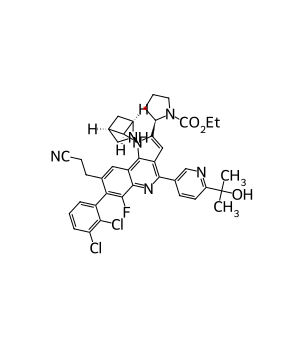 CCOC(=O)N1CCC[C@@H]1c1cc2c(-c3ccc(C(C)(C)O)nc3)nc3c(F)c(-c4cccc(Cl)c4Cl)c(CCC#N)cc3c2n1[C@H]1[C@H]2CN[C@@H]1C2